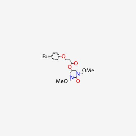 CCC(C)c1ccc(OCCC(=O)OC2CN(COC)C(=O)N(COC)C2)cc1